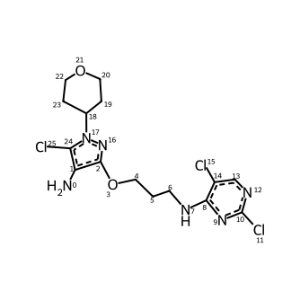 Nc1c(OCCCNc2nc(Cl)ncc2Cl)nn(C2CCOCC2)c1Cl